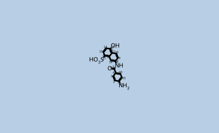 Nc1ccc(C(=O)Nc2ccc3c(O)ccc(S(=O)(=O)O)c3c2)cc1